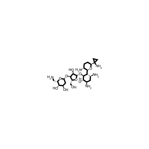 NC[C@@H]1O[C@H](O[C@H]2[C@@H](O)[C@H](O[C@@H]3[C@@H](O)[C@H](N)C[C@H](N)[C@H]3[C@H]3O[C@H](C4(N)CC4)CC[C@H]3N)O[C@@H]2CO)C[C@@H](O)[C@@H]1O